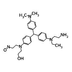 CCN(CCN)c1ccc(C(c2ccc(N(C)C)cc2)c2ccc(N(CCO)CCN=O)cc2)cc1